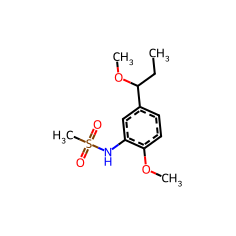 CCC(OC)c1ccc(OC)c(NS(C)(=O)=O)c1